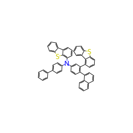 c1ccc(-c2ccc(N(c3ccc(-c4cccc5ccccc45)c(-c4cccc5sc6ccccc6c45)c3)c3cccc4c3sc3ccccc34)cc2)cc1